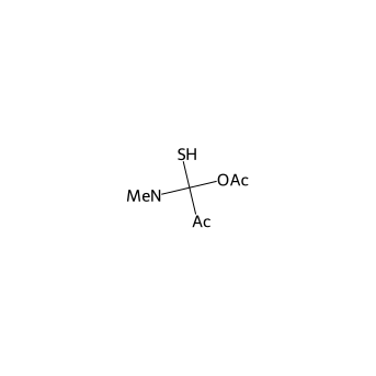 CNC(S)(OC(C)=O)C(C)=O